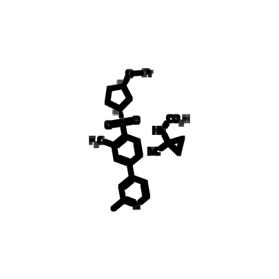 Cc1cc(-c2ccc(S(=O)(=O)[C@@H]3CC[C@@H](OC(C)C)C3)c(C(F)(F)F)c2)ccn1.N#CC1(NC(=O)O)CC1